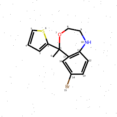 CC1(c2cccs2)OCCNc2ccc(Br)cc21